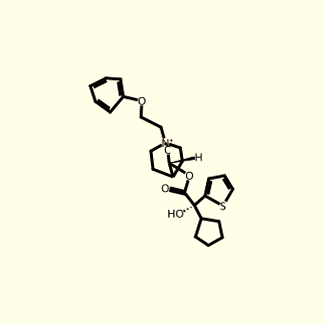 O=C(O[C@H]1C[N+]2(CCOc3ccccc3)CCC1CC2)[C@@](O)(c1cccs1)C1CCCC1